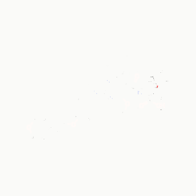 COc1nc(N2CCc3cc(OCCC4CCOCC4)ccc32)nc(C(F)(F)F)c1C(=O)NC1(C(=O)O)CC2CC3CC1CC32C